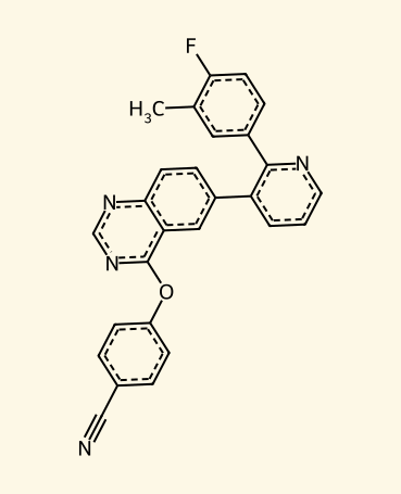 Cc1cc(-c2ncccc2-c2ccc3ncnc(Oc4ccc(C#N)cc4)c3c2)ccc1F